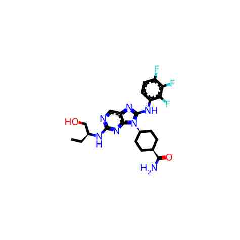 CC[C@@H](CO)Nc1ncc2nc(Nc3ccc(F)c(F)c3F)n([C@H]3CC[C@H](C(N)=O)CC3)c2n1